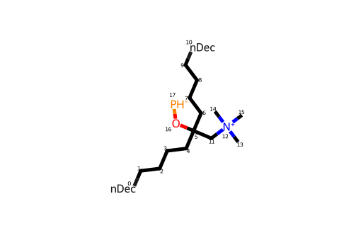 CCCCCCCCCCCCCCC(CCCCCCCCCCCCCC)(C[N+](C)(C)C)O[PH-]